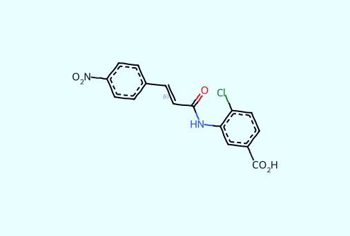 O=C(/C=C/c1ccc([N+](=O)[O-])cc1)Nc1cc(C(=O)O)ccc1Cl